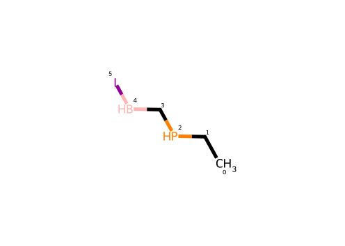 CCPCBI